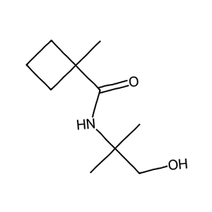 CC(C)(CO)NC(=O)C1(C)CCC1